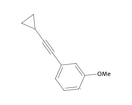 COc1[c]ccc(C#CC2CC2)c1